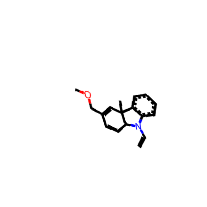 C=CN1c2ccccc2C2(C)C=C(COC)C=CC12